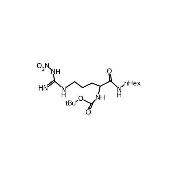 CCCCCCNC(=O)C(CCCNC(=N)N[N+](=O)[O-])NC(=O)OC(C)(C)C